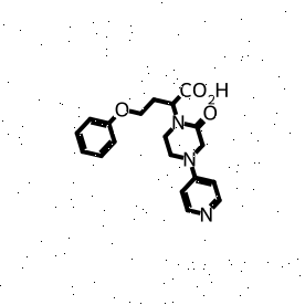 O=C(O)C(CCOc1ccccc1)N1CCN(c2ccncc2)CC1=O